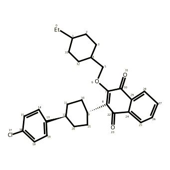 CCC1CCC(COC2=C([C@H]3CC[C@H](c4ccc(Cl)cc4)CC3)C(=O)c3ccccc3C2=O)CC1